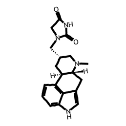 CN1C[C@@H](CN2CC(=O)NC2=O)C[C@@H]2c3cccc4[nH]cc(c34)C[C@H]21